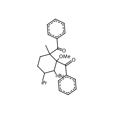 CCCCC1C(C(C)C)CCC(C)(C(=O)c2ccccc2)C1(OC)C(=O)c1ccccc1